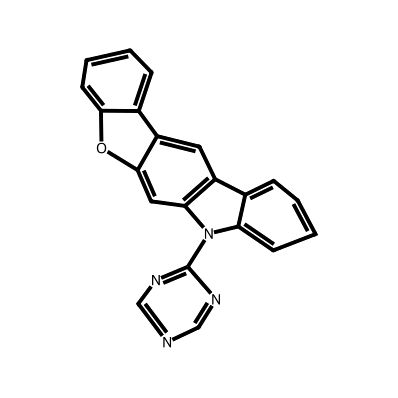 c1ccc2c(c1)oc1cc3c(cc12)c1ccccc1n3-c1ncncn1